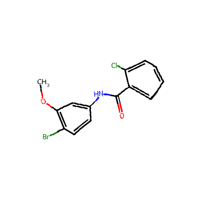 COc1cc(NC(=O)c2ccccc2Cl)ccc1Br